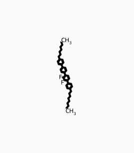 CCCCCCCCCc1ccc(-c2ccc(-c3ccc(-c4ccc(CCCCCCCC)cc4)cc3)c(F)c2F)cc1